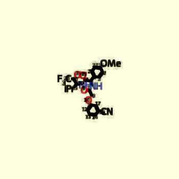 COc1ccc(C(NC(=O)COc2cccc(C#N)c2)C(=O)NC(C(=O)C(F)(F)F)C(C)C)cc1